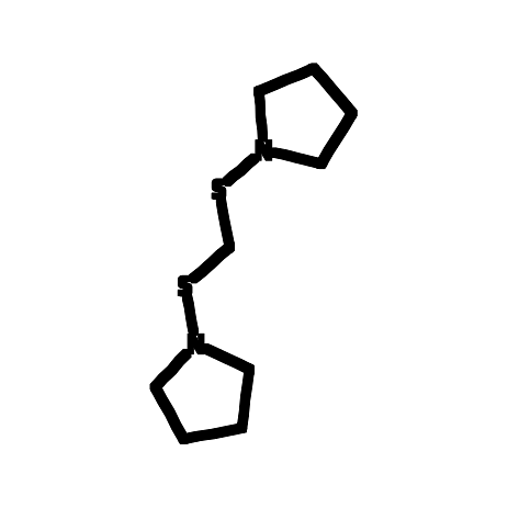 C1CCN(SCSN2CCCC2)C1